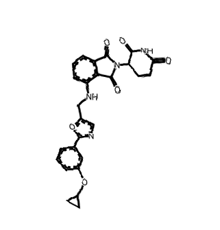 O=C1CCC(N2C(=O)c3cccc(NCc4cnc(-c5cccc(OC6CC6)c5)o4)c3C2=O)C(=O)N1